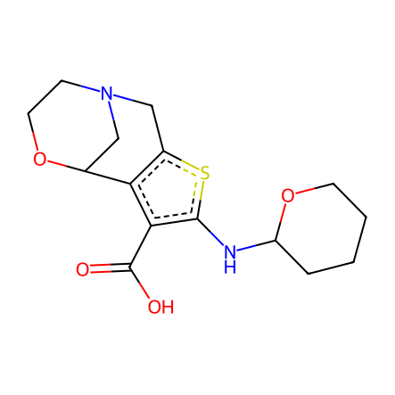 O=C(O)c1c(NC2CCCCO2)sc2c1C1CN(CCO1)C2